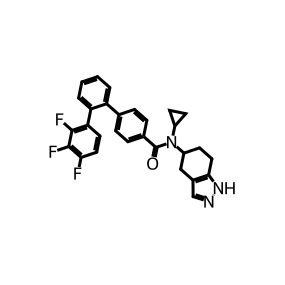 O=C(c1ccc(-c2ccccc2-c2ccc(F)c(F)c2F)cc1)N(C1CC1)C1CCc2[nH]ncc2C1